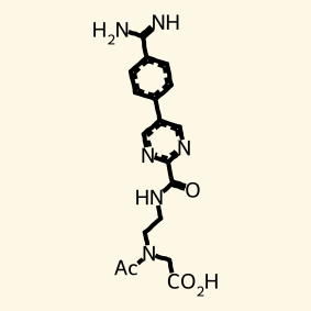 CC(=O)N(CCNC(=O)c1ncc(-c2ccc(C(=N)N)cc2)cn1)CC(=O)O